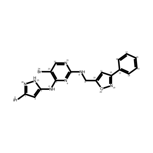 CC(C)c1cc(Nc2nc(NCc3cc(-c4ccccc4)no3)ncc2Br)[nH]n1